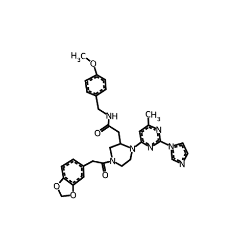 COc1ccc(CNC(=O)CC2CN(C(=O)Cc3ccc4c(c3)OCO4)CCN2c2cc(C)nc(-n3ccnc3)n2)cc1